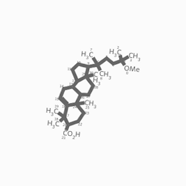 COC(C)(C)CCC(C)(C)C1CCC2C3CC=C4C(C)(C)C(C(=O)O)CCC4(C)C3CCC21C